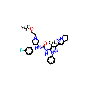 COCCN1C[C@@H](NC(=O)Nc2c(C)c(-c3cc4n(n3)CCC4)nn2-c2ccccc2)[C@H](c2cccc(F)c2)C1